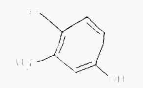 CCc1ccc(O)cc1P